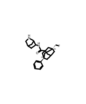 O=C(NC1CC2CNC1C2)C12CC3C[C@](CF)(C1)C[C@](c1ccccc1)(C3)C2